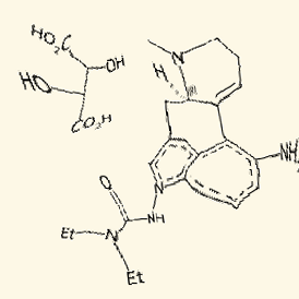 CCN(CC)C(=O)Nn1cc2c3c(c(N)ccc31)C1=CCCN(C)[C@@H]1C2.O=C(O)C(O)C(O)C(=O)O